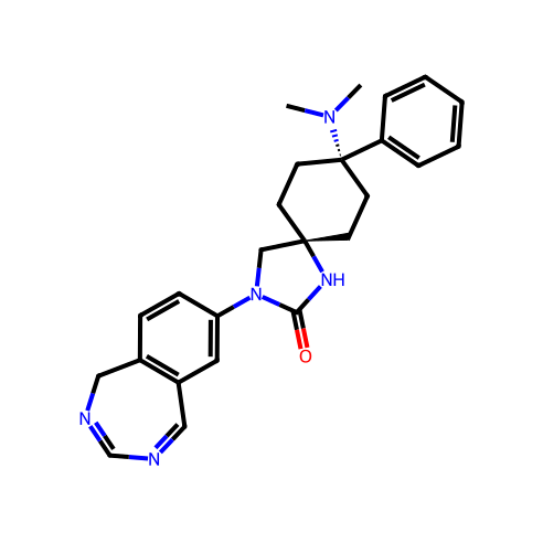 CN(C)[C@]1(c2ccccc2)CC[C@]2(CC1)CN(c1ccc3c(c1)C=NC=NC3)C(=O)N2